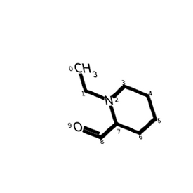 CCN1CCCCC1C=O